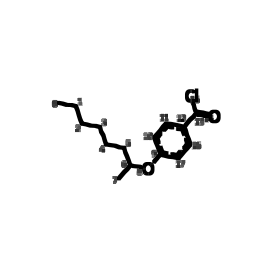 CCCCCCC(C)Oc1ccc(C(=O)Cl)cc1